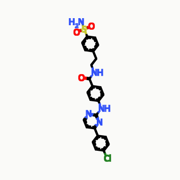 NS(=O)(=O)c1ccc(CCNC(=O)c2ccc(Nc3nccc(-c4ccc(Cl)cc4)n3)cc2)cc1